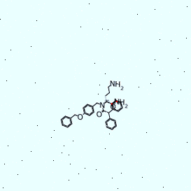 NCCC[C@H](C(N)=O)N(Cc1ccc(OCc2ccccc2)cc1)C(=O)C(c1ccccc1)c1ccccc1